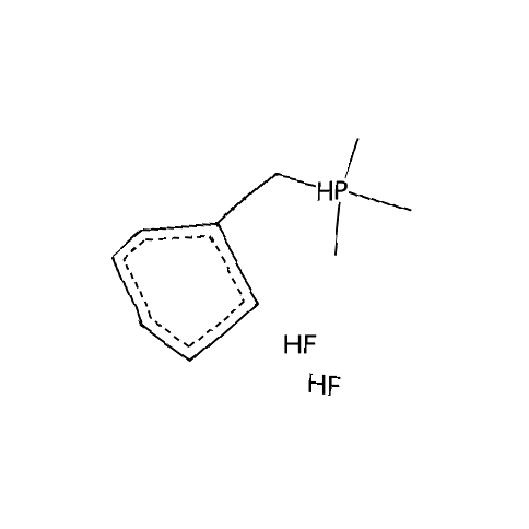 C[PH](C)(C)Cc1ccccc1.F.F